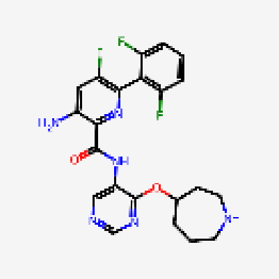 Nc1cc(F)c(-c2c(F)cccc2F)nc1C(=O)Nc1cncnc1OC1CCCNCC1